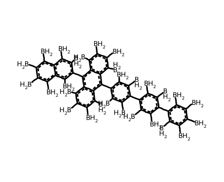 Bc1c(B)c(B)c(-c2c(B)c(B)c(-c3c(B)c(B)c(-c4c5c(B)c(B)c(B)c(B)c5c(-c5c(B)c(B)c6c(B)c(B)c(B)c(B)c6c5B)c5c(B)c(B)c(B)c(B)c45)c(B)c3B)c(B)c2B)c(B)c1B